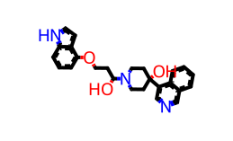 OC(CCOc1cccc2[nH]ccc12)N1CCC(O)(c2cncc3ccccc23)CC1